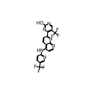 Oc1ncc(C(F)(F)F)c(-c2ccc3c(Nc4ccc(C(F)(F)F)cn4)ccnc3n2)n1